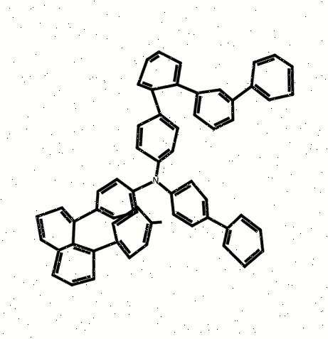 Cc1ccc(-c2cccc3cccc(-c4ccc(N(c5ccc(-c6ccccc6)cc5)c5ccc(-c6ccccc6-c6cccc(-c7ccccc7)c6)cc5)cc4)c23)cc1